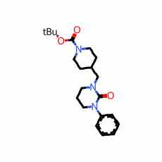 CC(C)(C)OC(=O)N1CCC(CN2CCCN(c3ccccc3)C2=O)CC1